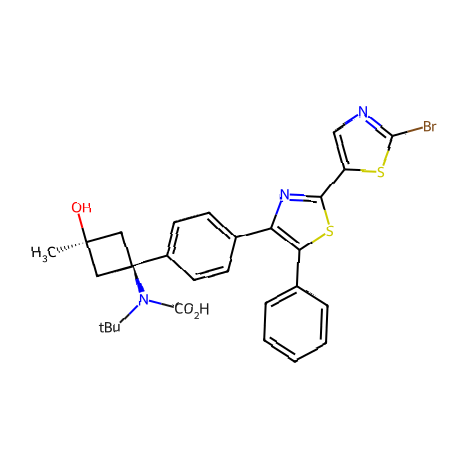 CC(C)(C)N(C(=O)O)[C@]1(c2ccc(-c3nc(-c4cnc(Br)s4)sc3-c3ccccc3)cc2)C[C@](C)(O)C1